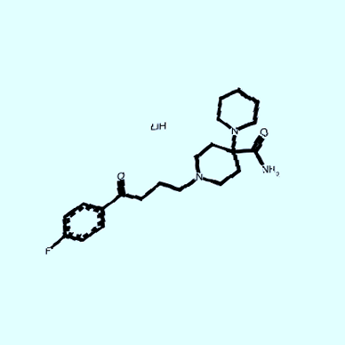 NC(=O)C1(N2CCCCC2)CCN(CCCC(=O)c2ccc(F)cc2)CC1.[LiH]